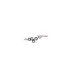 CCCCCC1CCC(c2ccc(C(=O)Oc3ccc(CCC)cc3)cc2)C(C)C1